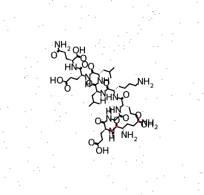 CC(C)C[C@H](NC(=O)[C@H](CC(C)C)NC(=O)[C@H](CCCCN)NC(=O)[C@H](CCCCN)NC(=O)[C@H](CC(C)C)NC(=O)[C@H](CCC(=O)O)NC(=O)[C@@H](N)CCC(=O)O)C(=O)N[C@@H](CCC(=O)O)C(=O)N[C@@H](CCC(N)=O)C(=O)O